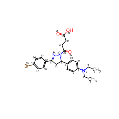 CCN(CC)c1ccc(C2CC(c3ccc(Br)cc3)=NN2C(=O)CCC(=O)O)cc1